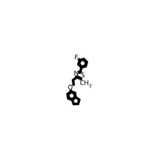 Cc1sc(-c2cccc(F)c2)nc1CCOc1ccc2c(c1)CCC2